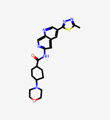 Cc1nnc(-c2cnc3cnc(NC(=O)C4CCC(N5CCOCC5)CC4)cc3c2)s1